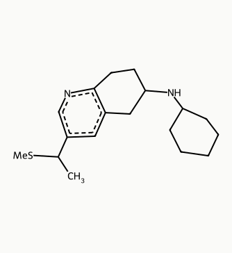 CSC(C)c1cnc2c(c1)CC(NC1CCCCC1)CC2